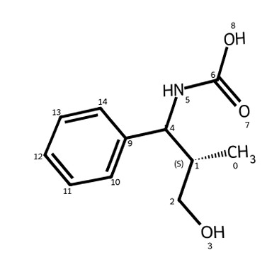 C[C@H](CO)[C](NC(=O)O)c1ccccc1